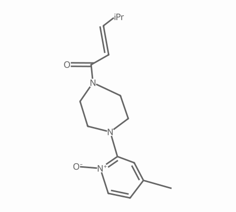 Cc1cc[n+]([O-])c(N2CCN(C(=O)/C=C/C(C)C)CC2)c1